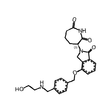 O=C1CCC[C@H](N2Cc3c(OCc4ccc(CNCCO)cc4)cccc3C2=O)C(=O)N1